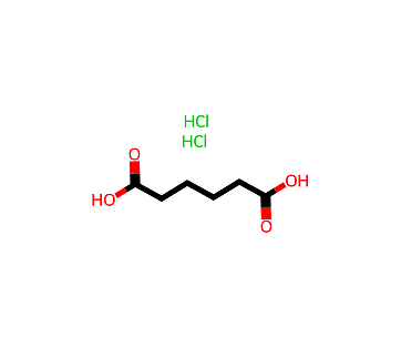 Cl.Cl.O=C(O)CCCCC(=O)O